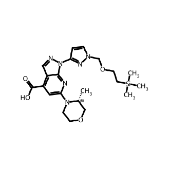 C[C@@H]1COCCN1c1cc(C(=O)O)c2cnn(-c3ccn(COCC[Si](C)(C)C)n3)c2n1